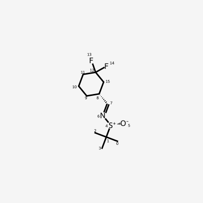 CC(C)(C)[S@@+]([O-])/N=C/[C@@H]1CCCC(F)(F)C1